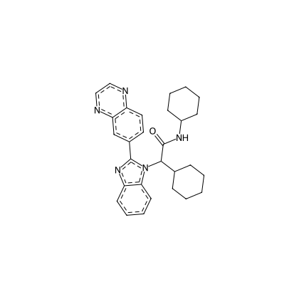 O=C(NC1CCCCC1)C(C1CCCCC1)n1c(-c2ccc3nccnc3c2)nc2ccccc21